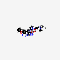 CN(C/C=C/C(=O)N1CCC[C@@H](n2cc(-c3ccc(Oc4ccccc4)cc3)c3c(N)n[nH]c(=O)c32)C1)C1CC1